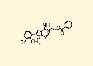 Cc1c(Br)cccc1-c1cc2c(=N)n(CCOC(=O)c3ccccc3)cc(I)c2o1